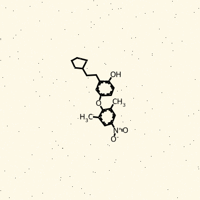 Cc1cc([N+](=O)[O-])cc(C)c1Oc1ccc(O)c(CCC2CCCC2)c1